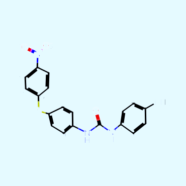 Cc1ccc(NC(=O)Nc2ccc(Sc3ccc([N+](=O)[O-])cc3)cc2)cc1